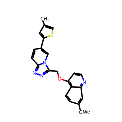 COc1ccc2c(OCc3nnc4ccc(-c5cc(C)cs5)cn34)ccnc2c1